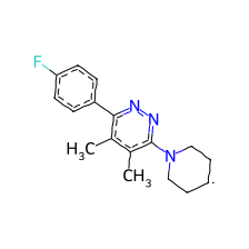 Cc1c(-c2ccc(F)cc2)nnc(N2CC[CH]CC2)c1C